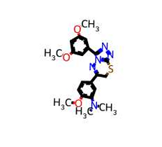 COc1cc(OC)cc(-c2nnc3n2N=C(c2ccc(OC)c(N(C)C)c2)CS3)c1